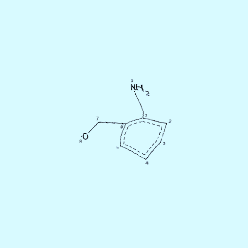 Nc1ccccc1C[O]